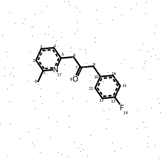 Cc1cccc(CC(=O)Cc2ccc(F)cc2)n1